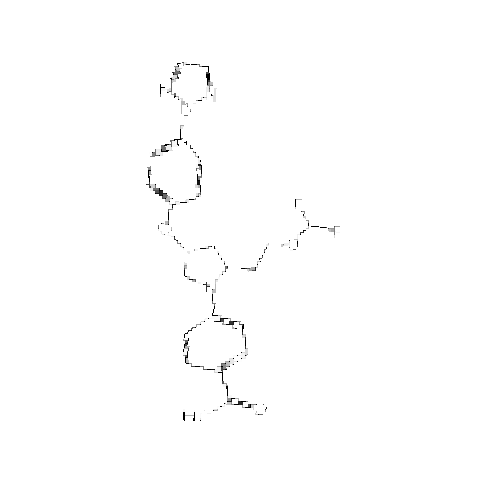 O=C(O)c1ccc(N2CC(Oc3ccc(-n4nccn4)cc3)CC2CCOC(F)F)cc1